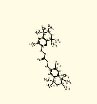 Cc1cc2c(cc1CCC(=O)CCc1cc3c(cc1C)C(C)(C)C(C)CC3(C)C)C(C)(C)CC(C)C2(C)C